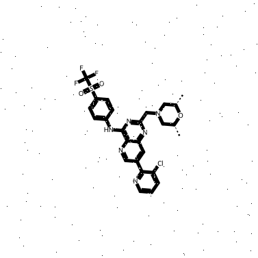 C[C@@H]1CN(Cc2nc(Nc3ccc(S(=O)(=O)C(F)(F)F)cc3)c3ncc(-c4ncccc4Cl)cc3n2)C[C@H](C)O1